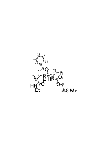 CCNC(=O)C(=O)[C@H](CCc1ccccc1)NC(=O)[C@H](CC(C)C)NC(=O)OCCOC